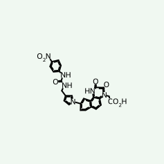 O=C(O)Cn1c(=O)c(=O)[nH]c2c3cc(-n4ccc(CNC(=O)Nc5ccc([N+](=O)[O-])cc5)c4)ccc3ccc21